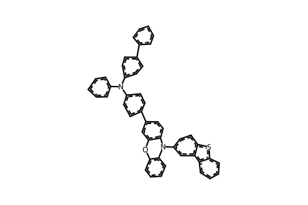 c1ccc(-c2ccc(N(c3ccccc3)c3ccc(-c4ccc5c(c4)Oc4ccccc4N5c4ccc5sc6ccccc6c5c4)cc3)cc2)cc1